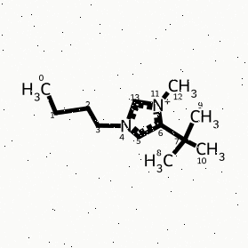 CCCCn1cc(C(C)(C)C)[n+](C)c1